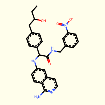 CCC(O)Cc1ccc(C(Nc2ccc3c(N)nccc3c2)C(=O)NCc2cccc([N+](=O)[O-])c2)cc1